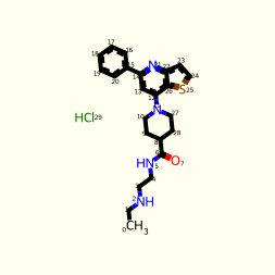 CCNCCNC(=O)C1CCN(c2cc(-c3ccccc3)nc3ccsc23)CC1.Cl